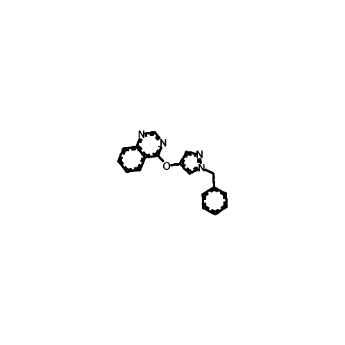 c1ccc(Cn2cc(Oc3ncnc4ccccc34)cn2)cc1